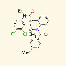 CCN(C(=O)[C@H]1C[C@H](C)N(C(=O)c2ccc(OC)cc2)c2ccccc21)c1ccc(Cl)c(Cl)c1